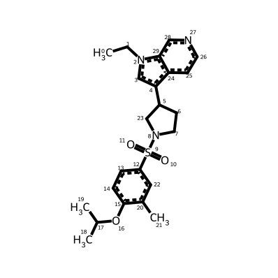 CCn1cc(C2CCN(S(=O)(=O)c3ccc(OC(C)C)c(C)c3)C2)c2ccncc21